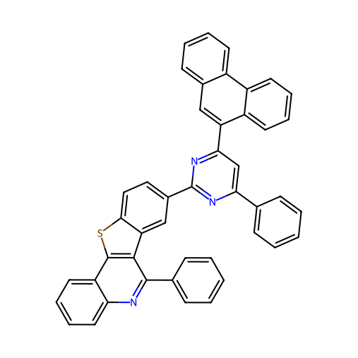 c1ccc(-c2cc(-c3cc4ccccc4c4ccccc34)nc(-c3ccc4sc5c6ccccc6nc(-c6ccccc6)c5c4c3)n2)cc1